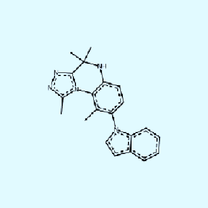 Cc1c(-n2ccc3ccccc32)ccc2c1-n1c(C)nnc1C(C)(C)N2